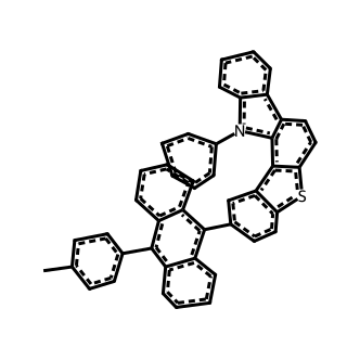 Cc1ccc(-c2c3ccccc3c(-c3ccc4sc5ccc6c7ccccc7n(-c7ccccc7)c6c5c4c3)c3ccccc23)cc1